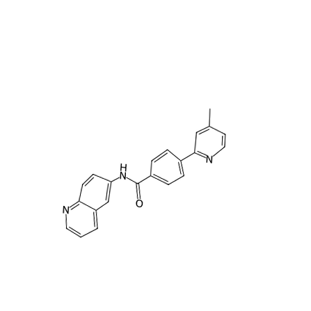 Cc1ccnc(-c2ccc(C(=O)Nc3ccc4ncccc4c3)cc2)c1